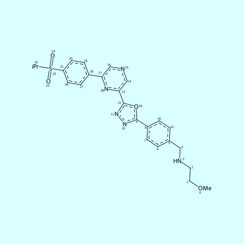 COCCNCc1ccc(-c2nnc(-c3cncc(-c4ccc(S(=O)(=O)C(C)C)cc4)n3)o2)cc1